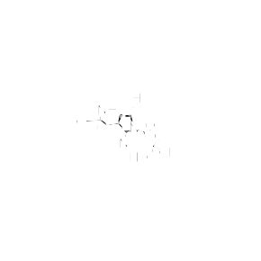 Cc1cc(/C=C(\N)Cl)c(N)n1C(=O)OC(C)(C)C